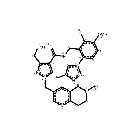 COCc1nn(Cc2cnc3c(c2)CN(C(C)C)CC3)cc1C(=O)NCc1c(-n2cc(C)nn2)ccc(OC)c1F